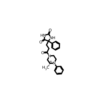 C[C@@H]1CN(C(=O)CCC2(c3ccccc3)NC(=O)NC2=O)CCN1c1ccccc1